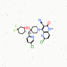 Cn1c(=O)c(C#N)c(N2CCC(O)([C@H](c3ccc(Cl)cn3)C3CCC(F)(F)CC3)CC2)c2nc(Cl)ccc21